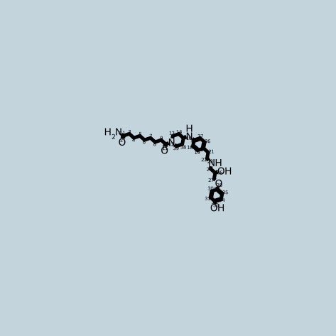 NC(=O)CCCCCCCC(=O)N1CCC(Nc2ccc(CCNCC(O)COc3ccc(O)cc3)cc2)CC1